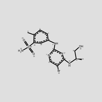 Cc1ccc(Nc2ncc(Br)c(N[C@H](C)CO)n2)cc1S(N)(=O)=O